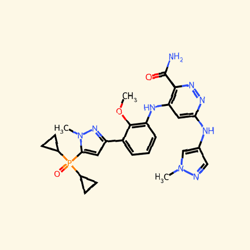 COc1c(Nc2cc(Nc3cnn(C)c3)nnc2C(N)=O)cccc1-c1cc(P(=O)(C2CC2)C2CC2)n(C)n1